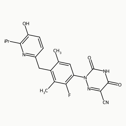 Cc1cc(-n2nc(C#N)c(=O)[nH]c2=O)c(F)c(C)c1Cc1ccc(O)c(C(C)C)n1